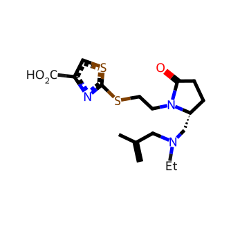 C=C(C)CN(CC)C[C@H]1CCC(=O)N1CCSc1nc(C(=O)O)cs1